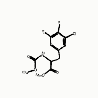 COC(=O)C(Cc1cc(F)c(F)c(Cl)c1)NC(=O)OC(C)(C)C